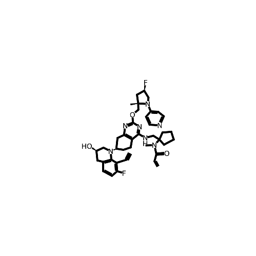 C#Cc1c(F)ccc2c1N([C@H]1CCc3c(nc(OC[C@]4(C)C[C@@H](F)CN4c4ccncc4)nc3NCC3(N(C)C(=O)C=C)CCCC3)C1)C[C@H](O)C2